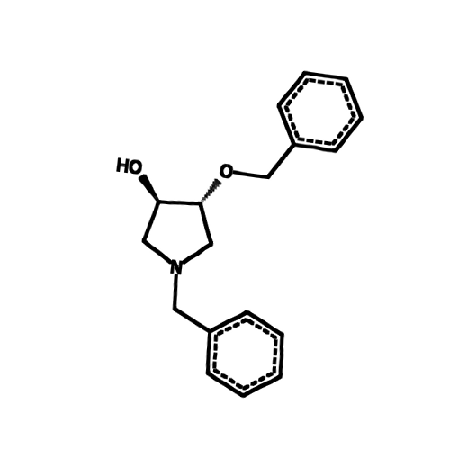 O[C@@H]1CN(Cc2ccccc2)C[C@H]1OCc1ccccc1